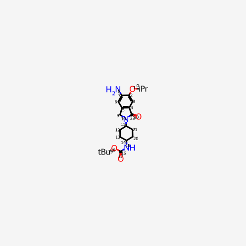 CC(C)Oc1cc2c(cc1N)CN(C1CCC(NC(=O)OC(C)(C)C)CC1)C2=O